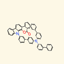 O=c1oc2c(ccc3c4ccccc4n(-c4cccc(-c5ccc(N(c6cccc(-c7ccccc7)c6)c6cccc(-c7ccccc7)c6)cc5)c4)c32)c2ccccc12